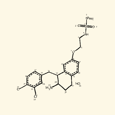 CCCCCS(=O)(=O)NCCOc1ccc2c(c1)C(Cc1ccc(Cl)c(Cl)c1)C(N)CC2.Cl